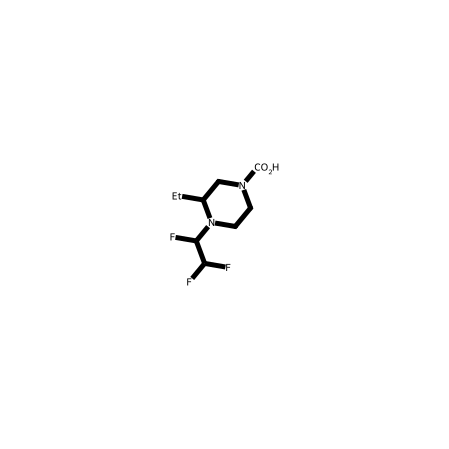 CCC1CN(C(=O)O)CCN1C(F)C(F)F